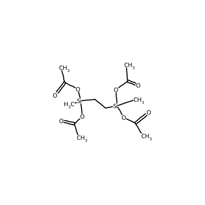 CC(=O)O[Si](C)(CC[Si](C)(OC(C)=O)OC(C)=O)OC(C)=O